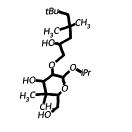 CC(C)OC1OC(CO)C(C)(C)C(O)C1OCC(O)CC(C)(C)CC(C)(C)C